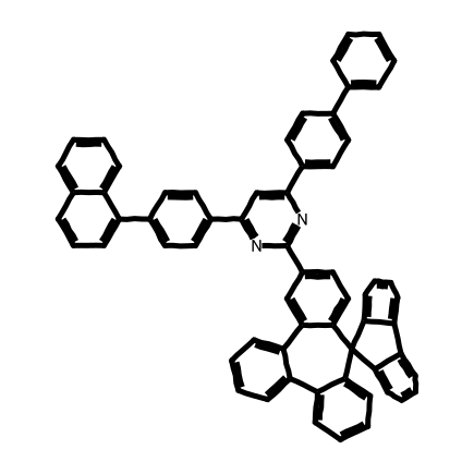 c1ccc(-c2ccc(-c3cc(-c4ccc(-c5cccc6ccccc56)cc4)nc(-c4ccc5c(c4)-c4ccccc4-c4ccccc4C54c5ccccc5-c5ccccc54)n3)cc2)cc1